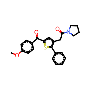 COc1ccc(C(=O)c2cc(CC(=O)N3CCCC3)c(-c3ccccc3)s2)cc1